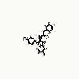 Cc1ccn2c(-c3ccc(F)cc3)c(NC(=O)Cc3ccccc3)nc2c1